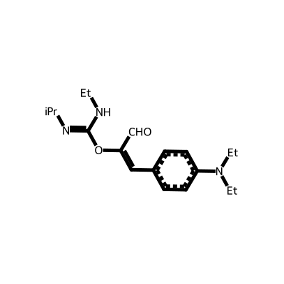 CCN/C(=N\C(C)C)O/C(C=O)=C/c1ccc(N(CC)CC)cc1